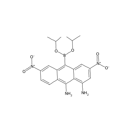 CC(C)OB(OC(C)C)c1c2cc([N+](=O)[O-])ccc2c(N)c2c(N)cc([N+](=O)[O-])cc12